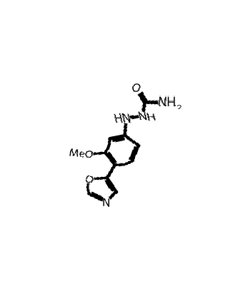 COc1cc(NNC(N)=O)ccc1-c1cnco1